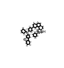 N=C1C=Cc2ccc3ccc(-c4ccc(N(c5ccccc5)c5ccc6c(c5)oc5ccccc56)cc4)cc3c2/C1=N/Nc1ccccc1